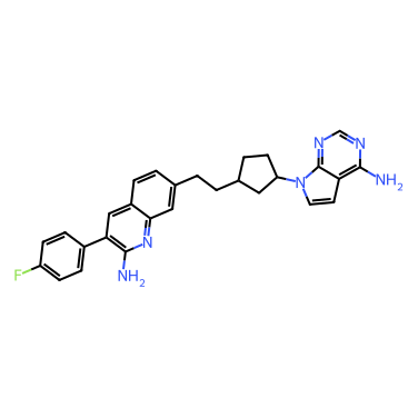 Nc1nc2cc(CCC3CCC(n4ccc5c(N)ncnc54)C3)ccc2cc1-c1ccc(F)cc1